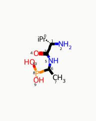 CC(C)[C@H](N)C(=O)NC(C)P(O)O